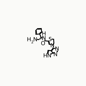 NC[C@H](NC(=O)C1=CN(c2ncnc3[nH]ccc23)CCS1)c1ccccc1